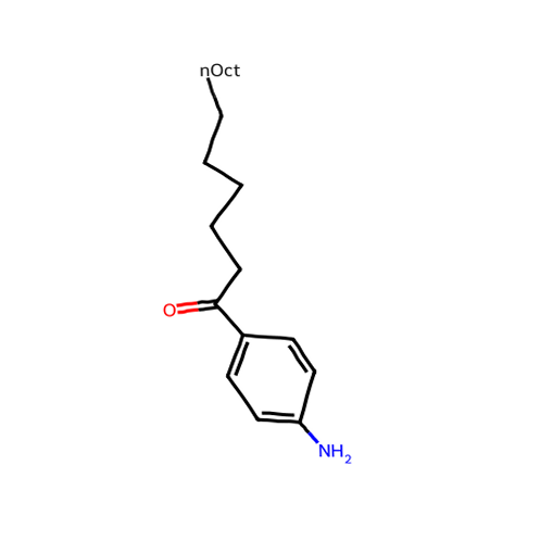 CCCCCCCCCCCCCC(=O)c1ccc(N)cc1